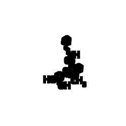 C[C@H](Cc1cccc(CCC(=O)NCCCc2ccccc2)c1)NC[C@@H](O)c1ccc(O)c(CO)c1